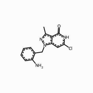 Cc1nn(Cc2ccccc2N)c2cc(Cl)[nH]c(=O)c12